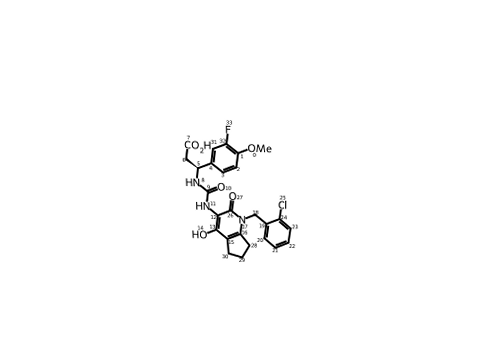 COc1ccc([C@H](CC(=O)O)NC(=O)Nc2c(O)c3c(n(Cc4ccccc4Cl)c2=O)CCC3)cc1F